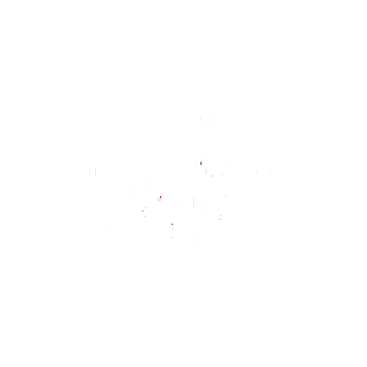 CC1=Cc2c(C(C)C)cc(C(C)C)cc2[CH]1[Hf](=[SiH2])([c]1ccccc1)([c]1ccccc1)[CH]1C(C)=Cc2c(C(C)C)cc(C(C)C)cc21.Cl.Cl